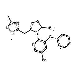 Cc1noc(CC2=CSC(N)N2c2ncc(Br)cc2Oc2ccccc2)n1